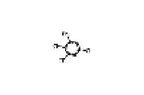 Clc1cc(Cl)c(Cl)c(Br)c1